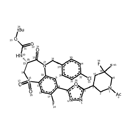 CC(=O)N1CC(c2nnc(-c3cc4c(cc3F)S(=O)(=O)C[C@H](NC(=O)OC(C)(C)C)C(=O)N4Cc3ccc(Cl)cc3)o2)CC(F)(F)C1